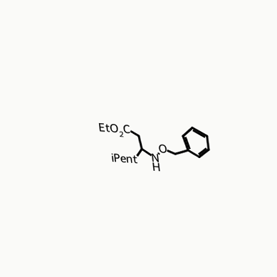 CCCC(C)C(CC(=O)OCC)NOCc1ccccc1